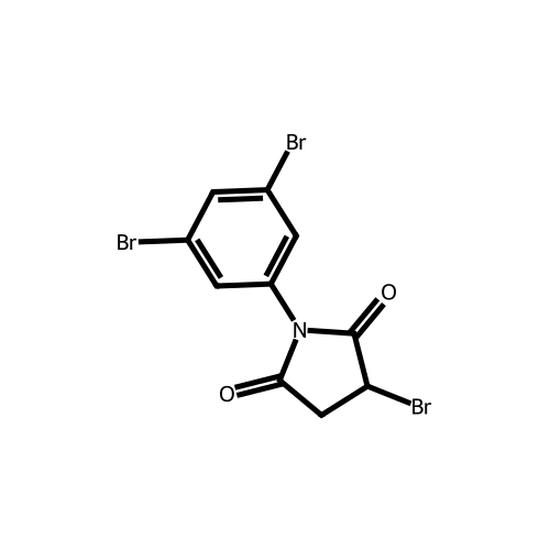 O=C1CC(Br)C(=O)N1c1cc(Br)cc(Br)c1